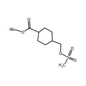 CC(C)(C)OC(=O)C1CCC(COS(C)(=O)=O)CC1